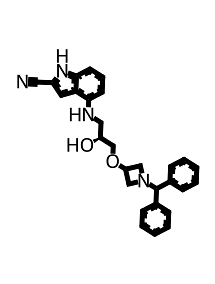 N#Cc1cc2c(NC[C@H](O)COC3CN(C(c4ccccc4)c4ccccc4)C3)cccc2[nH]1